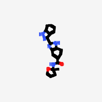 CC1(NC(=O)c2ccc3[nH]c(-c4n[nH]c5ccccc45)nc3c2)CC=CO1